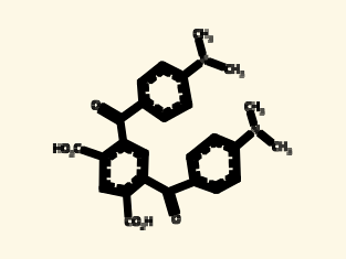 CN(C)c1ccc(C(=O)c2cc(C(=O)c3ccc(N(C)C)cc3)c(C(=O)O)cc2C(=O)O)cc1